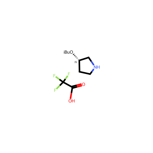 CC(C)CO[C@H]1CCNC1.O=C(O)C(F)(F)F